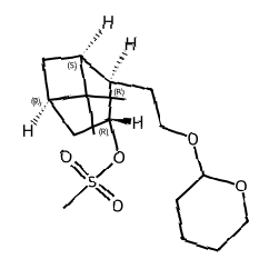 CC1(C)[C@H]2C[C@@H](OS(C)(=O)=O)[C@H](CCOC3CCCCO3)[C@@H]1C2